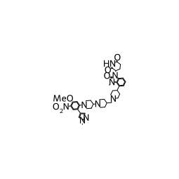 COc1cc(N2CCC(N3CCC(CN4CCC(c5cccc6c5n(C)c(=O)n6C5CCC(=O)NC5=O)CC4)CC3)CC2)c(-c2cnn(C)c2)cc1[N+](=O)[O-]